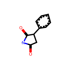 O=C1CC(c2ccccc2)C(=O)[N]1